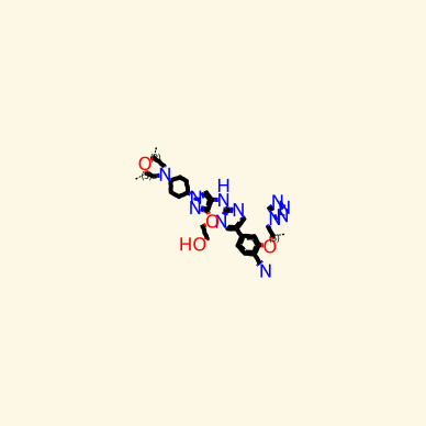 C[C@@H]1CN(C2CCC(n3cc(Nc4ncc(-c5ccc(C#N)c(O[C@@H](C)Cn6cnnn6)c5)cn4)c(OCCO)n3)CC2)C[C@H](C)O1